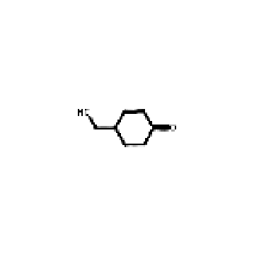 N#CCC1CCC(=O)CC1